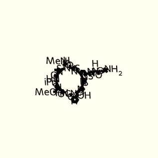 CNC(=O)C[C@@H]1NC(=O)c2csc(n2)-c2ccc(-c3nc(NC(=O)OCC(C)(C)N)cs3)nc2-c2csc(n2)-c2csc(n2)[C@H]([C@@H](O)c2ccccc2)NC(=O)CNC(=O)c2nc(sc2COC)[C@@H](C(C)C)NC(=O)c2nc1sc2C